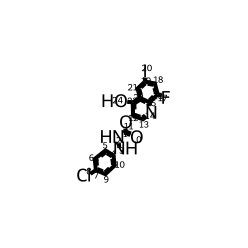 O=C(NNc1ccc(Cl)cc1)Oc1cnc2c(F)cc(I)cc2c1O